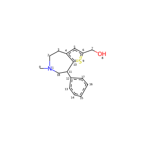 CN1CCc2cc(CO)sc2C(c2ccccc2)C1